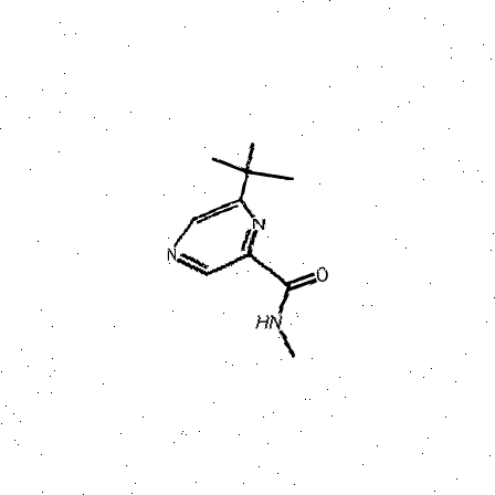 CNC(=O)c1cncc(C(C)(C)C)n1